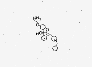 NCCOc1cccc([C@](O)(C(=O)OCC2CCN(Cc3ccccc3)CC2)c2ccccc2)c1